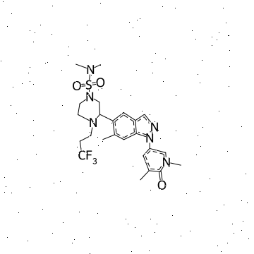 Cc1cc2c(cnn2-c2cc(C)c(=O)n(C)c2)cc1C1CN(S(=O)(=O)N(C)C)CCN1CCC(F)(F)F